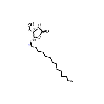 CCCCCCCCCCCCC/C=C\[C@H]1OC(=O)N[C@H]1CO